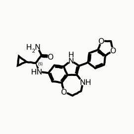 NC(=O)[C@@H](Nc1cc2c3c(c(-c4ccc5c(c4)OCO5)[nH]c3c1)NCCO2)C1CC1